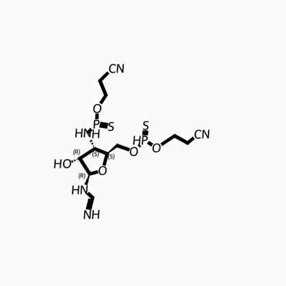 N#CCCO[PH](=S)N[C@H]1[C@@H](O)[C@H](NC=N)O[C@@H]1CO[PH](=S)OCCC#N